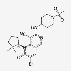 CC1(C)CCC[C@H]1n1c(=O)c(Br)cc2cnc(NC3CCN(S(C)(=O)=O)CC3)c(C#N)c21